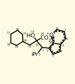 CC(C)C(c1ccc2cccoc1-2)C(O)(CC1CCCCC1)C(=O)O